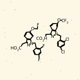 O=C(O)Cc1nn(Cc2ccc(Cl)cc2Cl)c2cc(OC(F)(F)F)ccc12.O=C(O)Cc1nn(Cc2ccc(F)cc2F)c2cc(OCF)ccc12